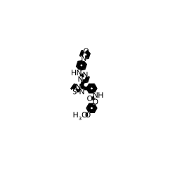 COc1ccc(OC(=O)Nc2cccc(-c3nc4sccn4c3-c3ccnc(Nc4ccc(N5CCOCC5)cc4)n3)c2)cc1